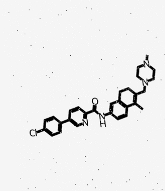 CC1=C(CN2CCN(C)CC2)CCc2cc(NC(=O)c3ccc(-c4ccc(Cl)cc4)cn3)ccc21